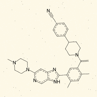 C=C(c1cc(-c2nc3cc(N4CCN(C)CC4)ncc3[nH]2)c(C)cc1C)N1CCC(c2ccc(C#N)cc2)CC1